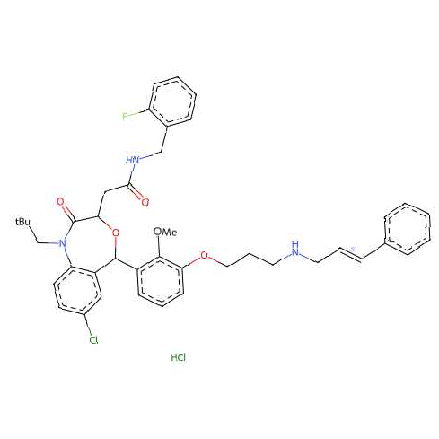 COc1c(OCCCNC/C=C/c2ccccc2)cccc1C1OC(CC(=O)NCc2ccccc2F)C(=O)N(CC(C)(C)C)c2ccc(Cl)cc21.Cl